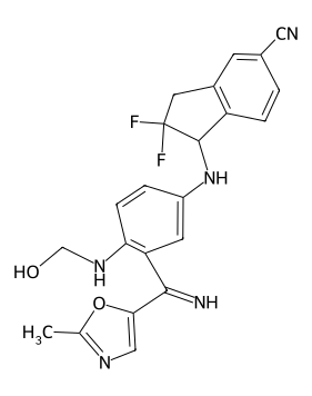 Cc1ncc(C(=N)c2cc(NC3c4ccc(C#N)cc4CC3(F)F)ccc2NCO)o1